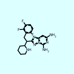 Nc1cc2nc(C(Cc3c(F)ccc(F)c3F)C3CCCCN3)nn2c(N)n1